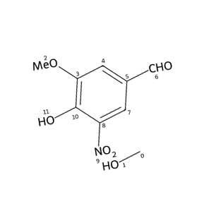 CO.COc1cc(C=O)cc([N+](=O)[O-])c1O